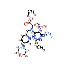 CCOC(=O)CN(Cc1ccc(N2CCOCC2)cn1)c1nc(SC)nc(N)c1[N+](=O)[O-]